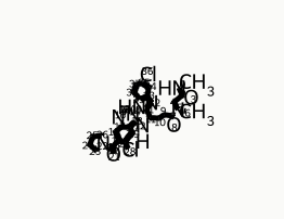 CNC(=O)CN(C)C(=O)CCC(Nc1ncnc2cc(C(=O)N3CCCC3)c(Cl)cc12)c1nc2cc(Cl)ccc2[nH]1